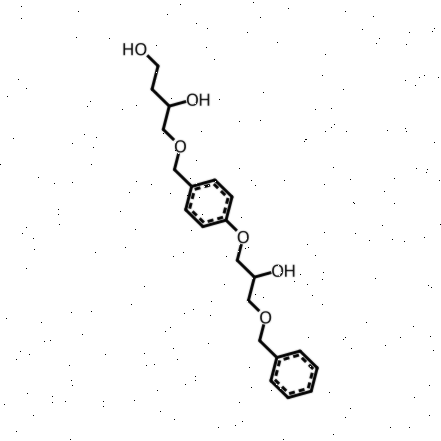 OCCC(O)COCc1ccc(OCC(O)COCc2ccccc2)cc1